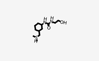 C[SH](C)CC1CCCC(NC(=O)NCCO)C1